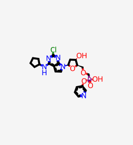 O=P(O)(COC[C@H]1O[C@@H](n2ccc3c(NC4CCCC4)nc(Cl)nc32)C[C@@H]1O)Oc1cccnc1